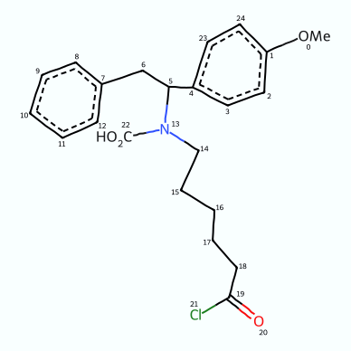 COc1ccc(C(Cc2ccccc2)N(CCCCCC(=O)Cl)C(=O)O)cc1